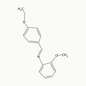 CCOc1ccc(C=Nc2ccccc2OC)cc1